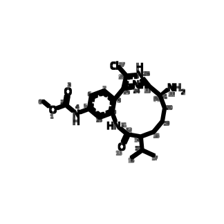 COC(=O)Nc1ccc2c(c1)NC(=O)C(C(C)C)CCC[C@H](N)c1nc-2c(Cl)[nH]1